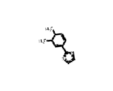 CC1C=CC(c2nccs2)=CC1C